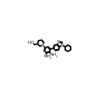 Nc1cc(N2CCCC(CO)C2)cc(-c2ccc3c(c2)ncn3C2CCCCC2)c1N